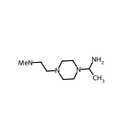 CNCCN1CCN(C(C)N)CC1